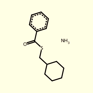 N.O=C(SCC1CCCCC1)c1ccccc1